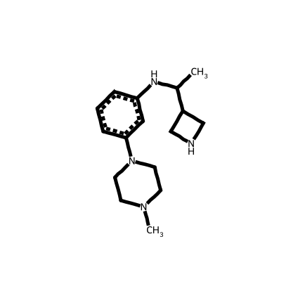 CC(Nc1[c]ccc(N2CCN(C)CC2)c1)C1CNC1